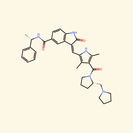 Cc1[nH]c(C=C2C(=O)Nc3ccc(C(=O)N[C@@H](C)c4ccccc4)cc32)c(C)c1C(=O)N1CCC[C@H]1CN1CCCC1